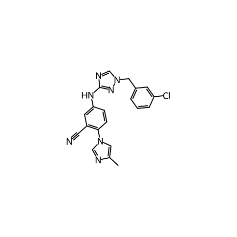 Cc1cn(-c2ccc(Nc3ncn(Cc4cccc(Cl)c4)n3)cc2C#N)cn1